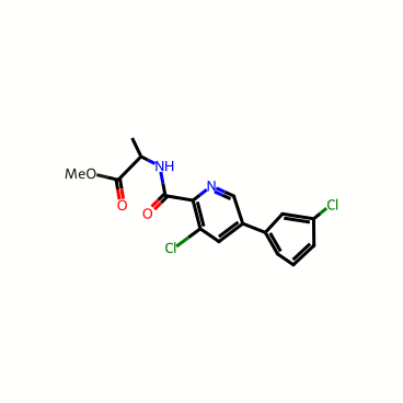 COC(=O)C(C)NC(=O)c1ncc(-c2cccc(Cl)c2)cc1Cl